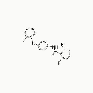 C=C(Nc1ccc(Oc2ccccc2C)cc1)c1c(F)cccc1F